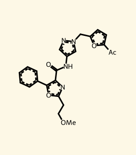 COCCc1nc(C(=O)Nc2cnn(Cc3ccc(C(C)=O)o3)c2)c(-c2ccccc2)o1